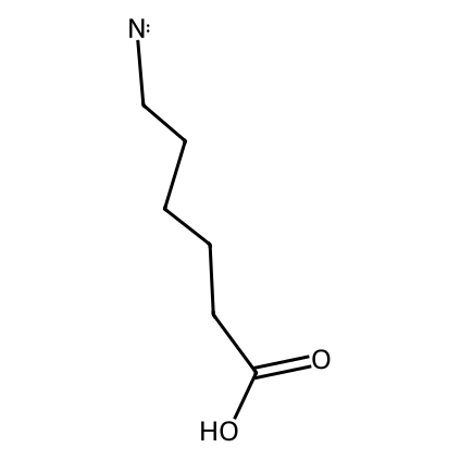 [N]CCCCCC(=O)O